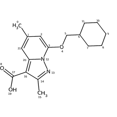 Cc1cc(OCC2CCCCC2)n2nc(C)c(C(=O)O)c2c1